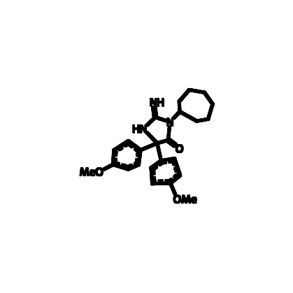 COc1ccc(C2(c3ccc(OC)cc3)NC(=N)N(C3CCCCCC3)C2=O)cc1